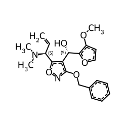 C=C[C@@H](c1onc(OCc2ccccc2)c1[C@H](O)c1occc1OC)N(C)C